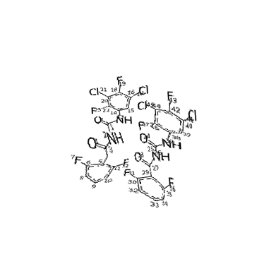 O=C(NC(=O)c1c(F)cccc1F)Nc1cc(Cl)c(F)c(Cl)c1F.O=C(NC(=O)c1c(F)cccc1F)Nc1cc(Cl)c(F)c(Cl)c1F